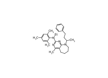 CCN(c1nc(C)c2c(n1)N(C(C)CCc1ccccc1)CCCC2)c1c(C)cc(C)cc1C